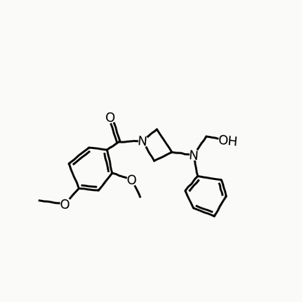 COc1ccc(C(=O)N2CC(N(CO)c3ccccc3)C2)c(OC)c1